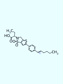 CCCC/C=C/c1ccc(-c2cc3c(s2)CN(C(CC)C(=O)O)S3(=O)=O)cc1